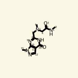 CNC(=O)CN(C)Cc1nc2c(cnn2C)c(=O)[nH]1